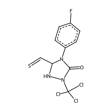 O=C1N(c2ccc(F)cc2)C(C=S)NN1C(Cl)(Cl)Cl